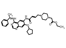 CCOC(=O)CN1CCN(CC=CC(=O)Nc2cc3c(N[C@H](C)c4ccccc4)ncnc3cc2OC2CCCC2)CC1